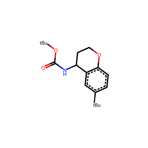 CC(C)(C)OC(=O)NC1CCOc2ccc(C(C)(C)C)cc21